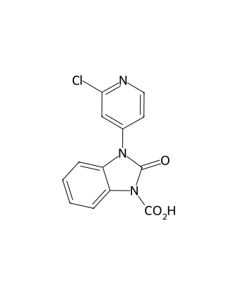 O=C(O)n1c(=O)n(-c2ccnc(Cl)c2)c2ccccc21